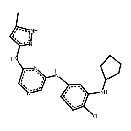 Cc1cc(Nc2cncc(Nc3ccc(Cl)c(NC4CCCC4)c3)n2)n[nH]1